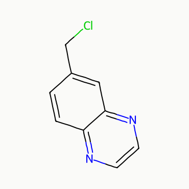 ClCc1ccc2nccnc2c1